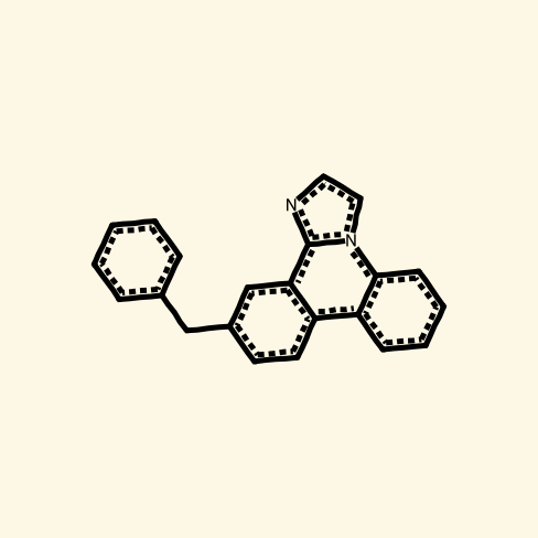 c1ccc(Cc2ccc3c4ccccc4n4ccnc4c3c2)cc1